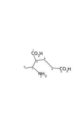 CC(N)C(CCC(=O)O)C(=O)O